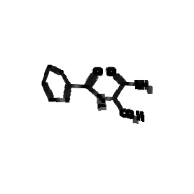 NC(=O)C(NC(=O)c1ccccc1)C(=O)O